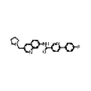 O=C(Nc1ccc2cc(CN3CCCC3)cnc2c1)c1ccc(-c2ccc(F)cc2)nc1